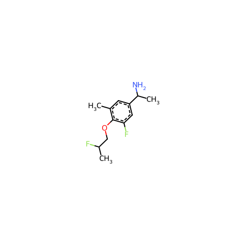 Cc1cc(C(C)N)cc(F)c1OCC(C)F